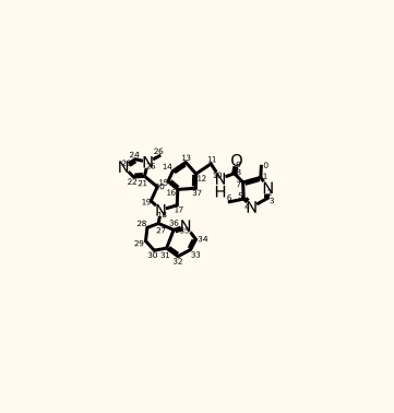 Cc1ncnc(C)c1C(=O)NCc1cccc(CN(CCc2cncn2C)C2CCCc3cccnc32)c1